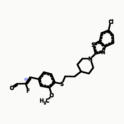 COc1cc(/C=C(\F)C=O)ccc1SCCC1CCN(c2nc3ccc(Cl)cc3s2)CC1